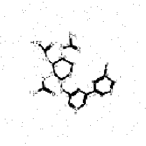 CC(=O)O[C@@H]1[C@@H](OC(C)=O)[C@H](OC(C)=O)CS[C@H]1Oc1cncc(-c2cncc(F)c2)c1